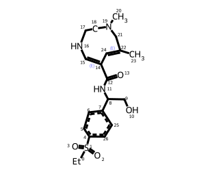 CCS(=O)(=O)c1ccc(C(CO)NC(=O)C2=C/NCCN(C)C\C(C)=C\2)cc1